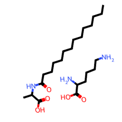 CCCCCCCCCCCCCC(=O)NC(C)C(=O)O.NCCCCC(N)C(=O)O